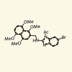 COc1ccc(OC)c2c(OC)c(CNc3nc4ccc(Br)cc4n3C(C)=O)cc(OC)c12